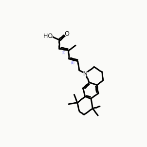 CC(/C=C/CN1CCCc2cc3c(cc21)C(C)(C)CCC3(C)C)=C\C(=O)O